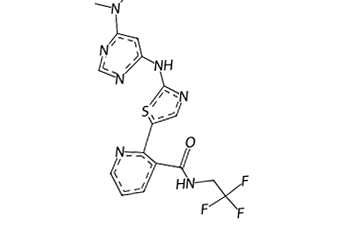 CN(C)c1cc(Nc2ncc(-c3ncccc3C(=O)NCC(F)(F)F)s2)ncn1